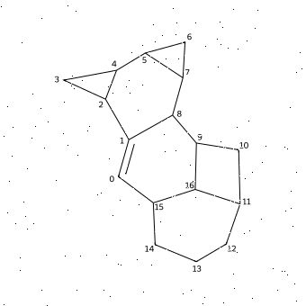 C1=C2C3CC3C3CC3C2C2CC3CCCC1C32